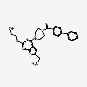 CCc1cc2c(N3CCN(C(=O)c4ccc(-c5ccccc5)cc4)CC3)nc(SCCO)nc2s1